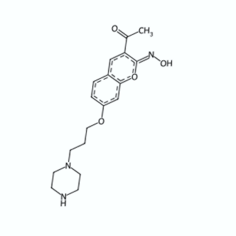 CC(=O)c1cc2ccc(OCCCN3CCNCC3)cc2oc1=NO